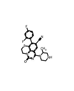 CC1CNCCN1c1nc(=O)n2c3c(c(-c4ccc(F)cc4F)c(C#N)cc13)SCC2